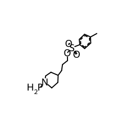 Cc1ccc(S(=O)(=O)OCCCC2CCN(P)CC2)cc1